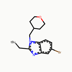 CC(C)(C)Cc1nc2cc(Br)ccc2n1CC1CCOCC1